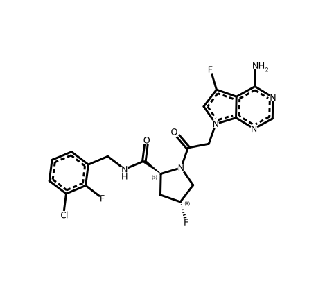 Nc1ncnc2c1c(F)cn2CC(=O)N1C[C@H](F)C[C@H]1C(=O)NCc1cccc(Cl)c1F